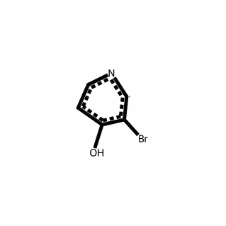 Oc1ccn[c]c1Br